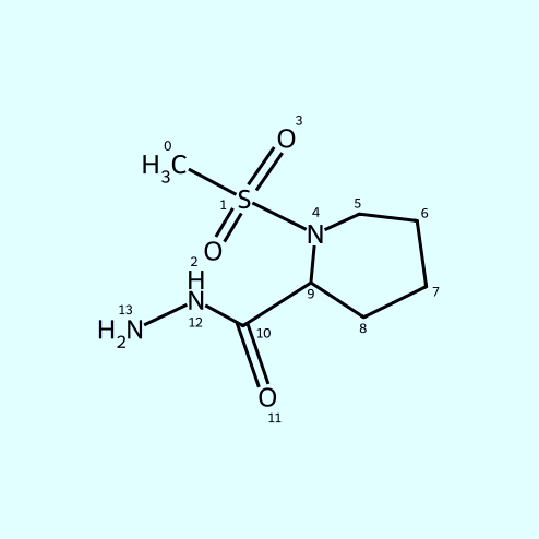 CS(=O)(=O)N1CCCCC1C(=O)NN